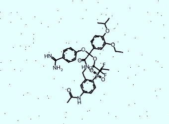 CCOc1cc(C(OC(=O)C(F)(F)F)(Oc2ccc(C(=N)N)cc2)C(=O)NCc2cc(NC(C)=O)ccc2S(=O)(=O)CC)ccc1OC(C)C